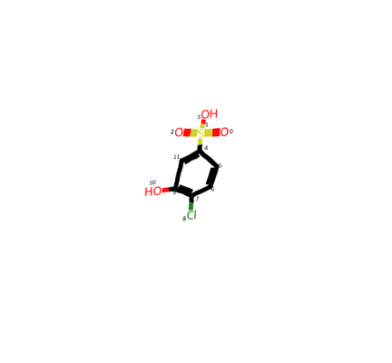 O=S(=O)(O)c1[c]cc(Cl)c(O)c1